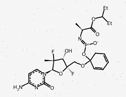 CCC(CC)OC(=O)[C@H](C)N=[P+]([O-])OC1(OC[C@@]2(F)O[C@@H](n3ccc(N)nc3=O)[C@](C)(F)[C@@H]2O)C=CC=CC1